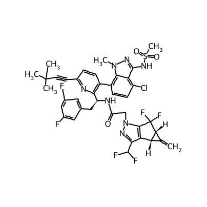 C=C1[C@@H]2c3c(C(F)F)nn(CC(=O)N[C@@H](Cc4cc(F)cc(F)c4)c4nc(C#CC(C)(C)C)ccc4-c4ccc(Cl)c5c(NS(C)(=O)=O)nn(C)c45)c3C(F)(F)[C@H]12